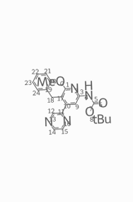 COc1nc(NC(=O)OC(C)(C)C)cc(-c2cnccn2)c1Cc1ccccc1